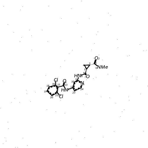 CNC(=O)[C@H]1C[C@@H]1C(=O)Nc1cc(NC(=O)c2c(Cl)cccc2Cl)ccn1